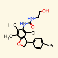 Cc1c(C)c2c(c(C)c1NC(=O)NCCO)C(c1ccc(C(C)C)cc1)CO2